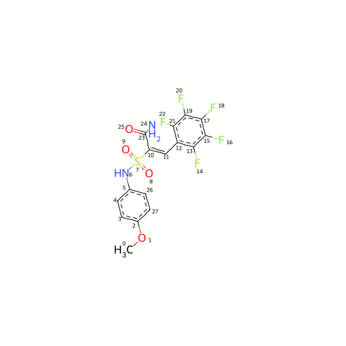 COc1ccc(NS(=O)(=O)C(=Cc2c(F)c(F)c(F)c(F)c2F)C(N)=O)cc1